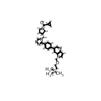 C[Si](C)(C)CCOCn1ccc2ncc(-c3ccc(-c4nncn4C[C@@H]4CCN(C(=O)C5CC5)C4)cc3)cc21